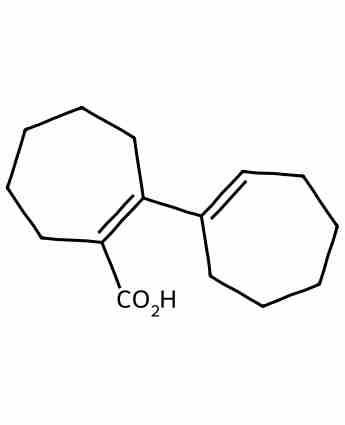 O=C(O)C1=C(C2=CCCCCC2)CCCCC1